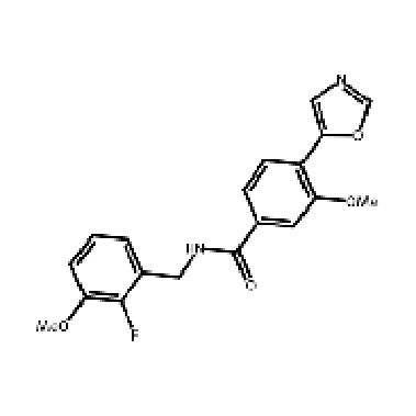 COc1cc(C(=O)NCc2cccc(OC)c2F)ccc1-c1cnco1